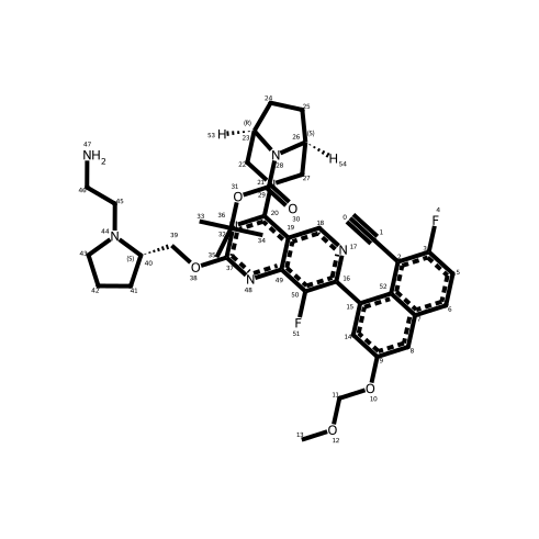 C#Cc1c(F)ccc2cc(OCOC)cc(-c3ncc4c(N5C[C@H]6CC[C@@H](C5)N6C(=O)OC(C)(C)C)nc(OC[C@@H]5CCCN5CCN)nc4c3F)c12